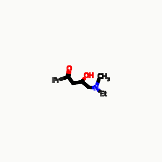 CCN(C)CC(O)CC(=O)C(C)C